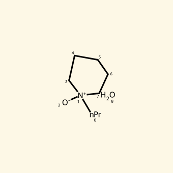 CCC[N+]1([O-])CCCCC1.O